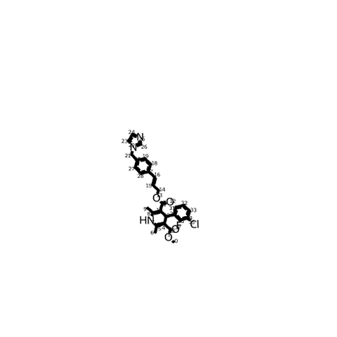 COC(=O)C1=C(C)NC(C)=C(C(=O)OC/C=C/c2ccc(Cn3ccnc3)cc2)C1c1cccc(Cl)c1F